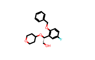 OC[C@H](OC1CCOCC1)c1cc(F)ccc1OCc1ccccc1